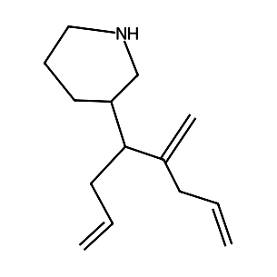 C=CCC(=C)C(CC=C)C1CCCNC1